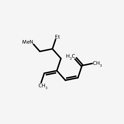 C=C(C)/C=C\C(=C/C)CC(CC)CNC